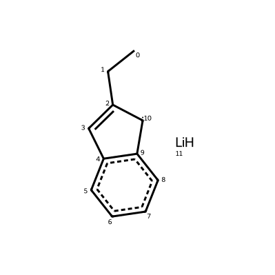 CCC1=Cc2ccccc2[CH]1.[LiH]